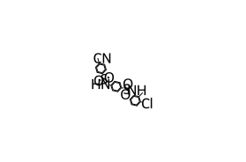 Cc1c(Cl)cccc1NS(=O)(=O)c1ccc(NS(=O)(=O)c2ccc(C#N)cc2)cc1